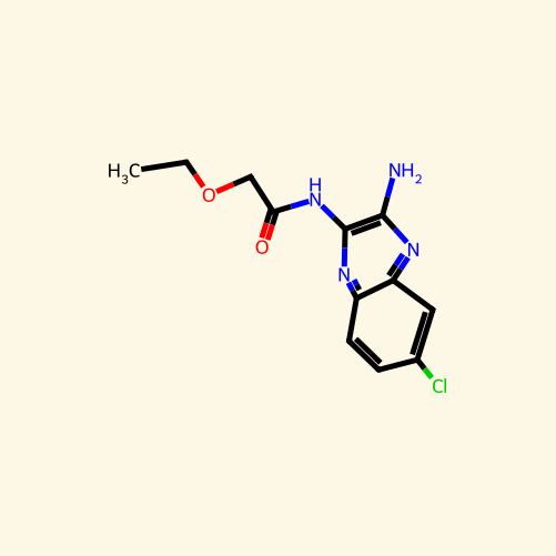 CCOCC(=O)Nc1nc2ccc(Cl)cc2nc1N